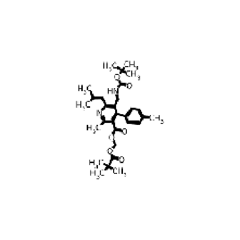 Cc1ccc(-c2c(CNC(=O)OC(C)(C)C)c(CC(C)C)nc(C)c2C(=O)OCOC(=O)C(C)(C)C)cc1